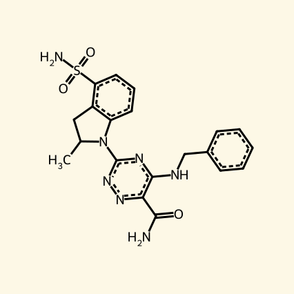 CC1Cc2c(cccc2S(N)(=O)=O)N1c1nnc(C(N)=O)c(NCc2ccccc2)n1